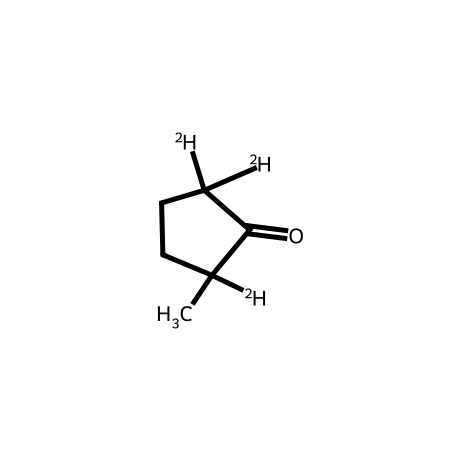 [2H]C1([2H])CCC([2H])(C)C1=O